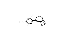 Nc1cc(O)c(C23CCCC4CC(CC4C2)C3)cc1F